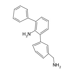 NCc1cccc(-c2cccc(-c3ccccc3)c2N)c1